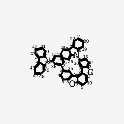 c1cc(-c2ccc3oc4ccc5oc6ccc(-n7c8ccccc8c8ccccc87)cc6c5c4c3c2)cc(-n2c3ccccc3c3ccccc32)c1